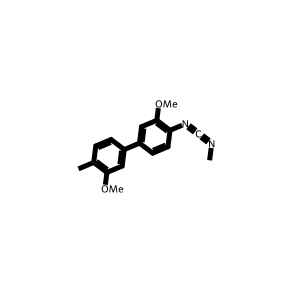 CN=C=Nc1ccc(-c2ccc(C)c(OC)c2)cc1OC